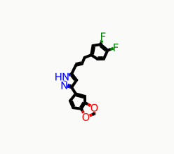 Fc1ccc(CC=Cc2cc(-c3ccc4c(c3)OCO4)n[nH]2)cc1F